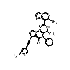 C[C@H](NC(=O)c1c(N)ncn2ccnc12)c1nn2ccc(C#Cc3cnn(C)c3)c2c(=O)n1-c1ccccc1